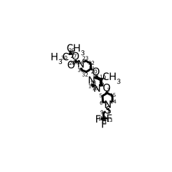 Cc1c(OC2CCN(SCC(F)(F)F)CC2)ncnc1OC1CCN(C(=O)OC(C)C)CC1